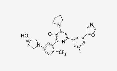 Cc1cc(-c2cc(N3CCCC3)c(=O)n(-c3cc(N4CC[C@H](O)C4)ccc3C(F)(F)F)n2)cc(-c2cnco2)c1